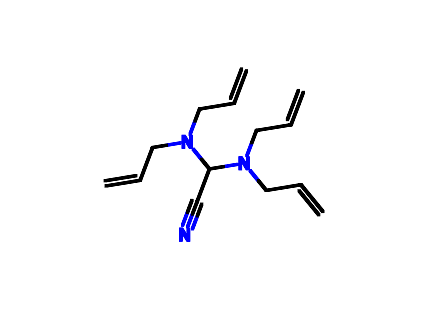 C=CCN(CC=C)C(C#N)N(CC=C)CC=C